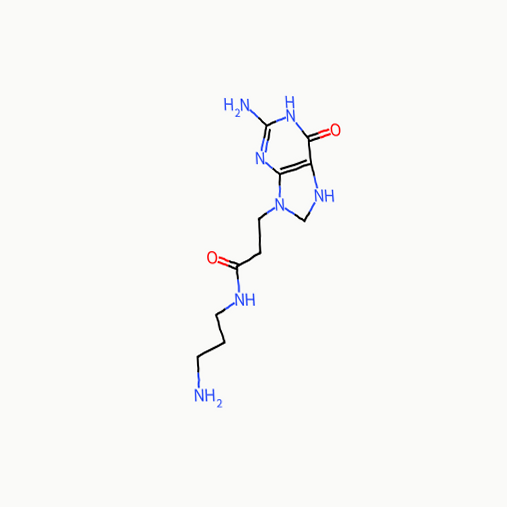 NCCCNC(=O)CCN1CNc2c1nc(N)[nH]c2=O